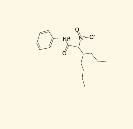 CCCCC(CCC)C(C(=O)Nc1ccccc1)[N+](=O)[O-]